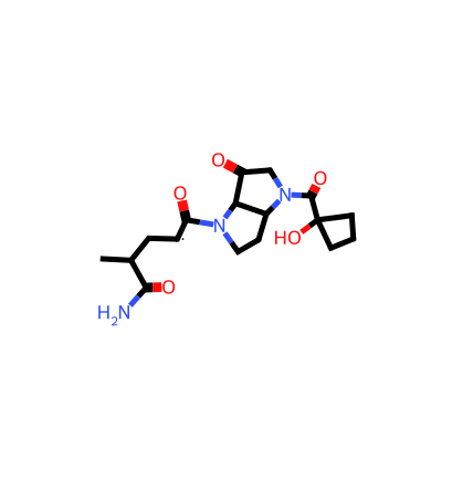 CC(C[CH]C(=O)N1CCC2C1C(=O)CN2C(=O)C1(O)CCC1)C(N)=O